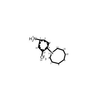 Nc1ccc(N2CCCCCCC2)c(C(F)(F)F)c1